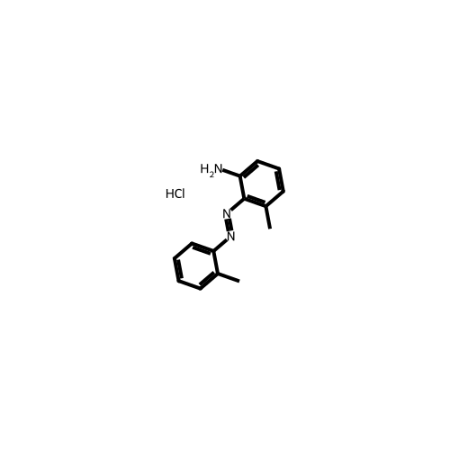 Cc1ccccc1N=Nc1c(C)cccc1N.Cl